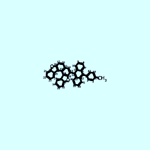 Cc1ccc(-c2c3ccccc3c(-c3cc4ccc5oc6ccccc6c5c4c4c3oc3ccccc34)c3ccccc23)cc1